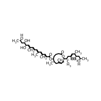 CC(=C\C=C\C(C)=C\[C@H](O)[C@@H](O)C[C@H](C)O)/C=C(C)/C=C/C(=O)O[C@H]1CCCC(=O)O[C@@H]([C@@H](C)C/C(C)=C/[C@@H](C)[C@H](O)C[C@@H](C)O)C/C=C(\C)C[C@@H]1C